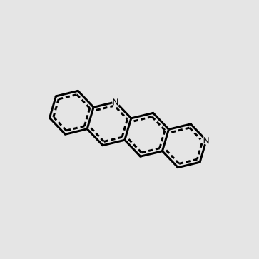 c1ccc2nc3cc4cnccc4cc3cc2c1